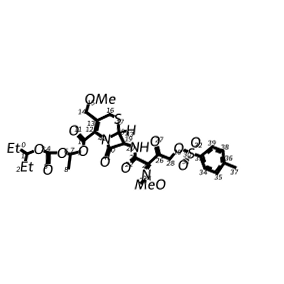 CCC(CC)OC(=O)OC(C)OC(=O)C1=C(COC)CS[C@@H]2C(NC(=O)/C(=N\OC)C(=O)COS(=O)(=O)c3ccc(C)cc3)C(=O)N12